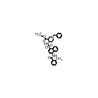 CCOC(=O)C1CN(Cc2ccccc2)CCC1NS(=O)(=O)c1ccc(NC(=O)c2ccccc2C)c2ccccc12